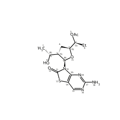 CC[C@H](OC(C)=O)[C@@H]1C[C@@H]([C@@H](C)O)[C@H](n2c(=O)sc3cnc(N)nc32)O1